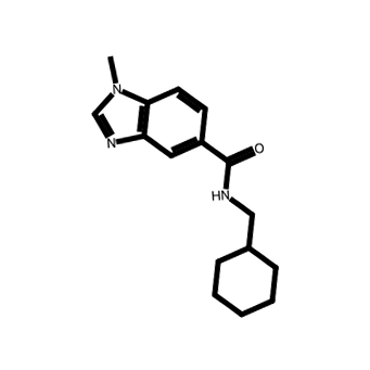 Cn1cnc2cc(C(=O)NCC3CCCCC3)ccc21